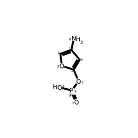 Nc1coc(O[PH](=O)O)c1